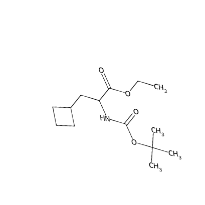 CCOC(=O)C(CC1CCC1)NC(=O)OC(C)(C)C